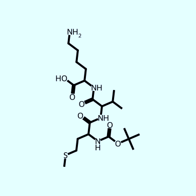 CSCCC(NC(=O)OC(C)(C)C)C(=O)NC(C(=O)NC(CCCCN)C(=O)O)C(C)C